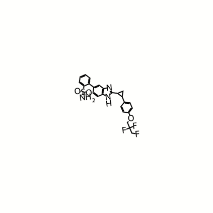 NS(=O)(=O)c1ccccc1-c1ccc2[nH]c(C3CC3c3ccc(OCC(F)(F)CF)cc3)nc2c1